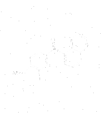 COc1ccc(C(=O)c2cccc3cccnc23)cc1C